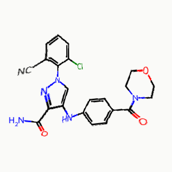 N#Cc1cccc(Cl)c1-n1cc(Nc2ccc(C(=O)N3CCOCC3)cc2)c(C(N)=O)n1